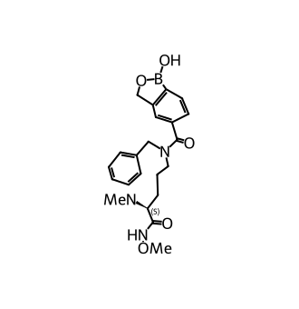 CN[C@@H](CCCN(Cc1ccccc1)C(=O)c1ccc2c(c1)COB2O)C(=O)NOC